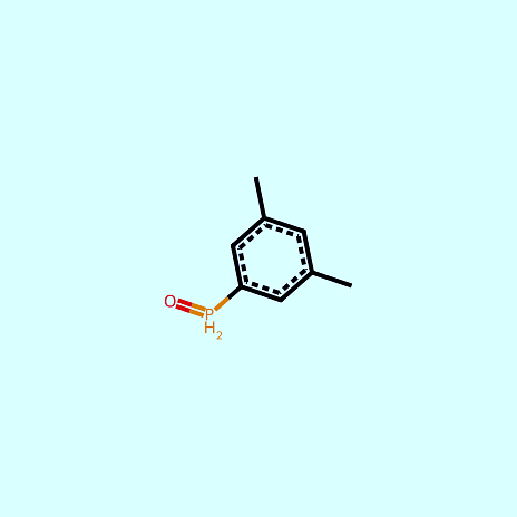 Cc1cc(C)cc([PH2]=O)c1